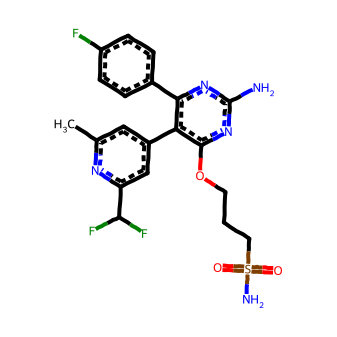 Cc1cc(-c2c(OCCCS(N)(=O)=O)nc(N)nc2-c2ccc(F)cc2)cc(C(F)F)n1